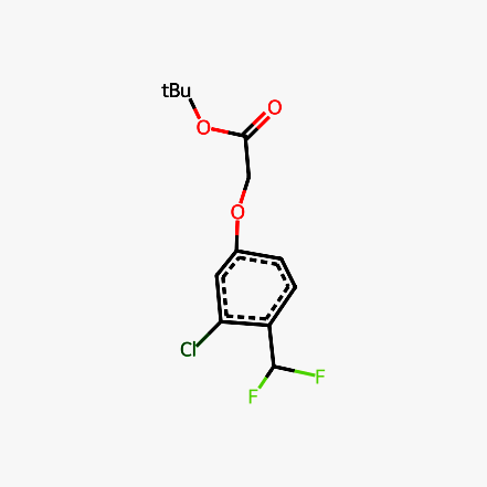 CC(C)(C)OC(=O)COc1ccc(C(F)F)c(Cl)c1